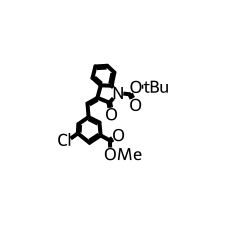 COC(=O)c1cc(Cl)cc(C=C2C(=O)N(C(=O)OC(C)(C)C)c3ccccc32)c1